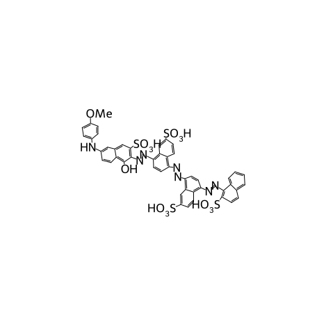 COc1ccc(Nc2ccc3c(O)c(N=Nc4ccc(N=Nc5ccc(N=Nc6c(S(=O)(=O)O)ccc7ccccc67)c6ccc(S(=O)(=O)O)cc56)c5ccc(S(=O)(=O)O)cc45)c(S(=O)(=O)O)cc3c2)cc1